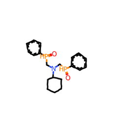 O=[PH](CN(C[PH](=O)c1ccccc1)C1CCCCC1)c1ccccc1